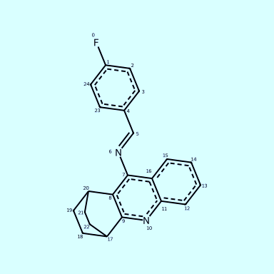 Fc1ccc(C=Nc2c3c(nc4ccccc24)C2CCC3CC2)cc1